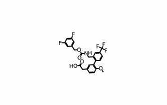 COc1ccc(CC(=O)O)cc1-c1ccc(C(F)(F)F)cc1CNC(=O)OCc1cc(F)cc(F)c1